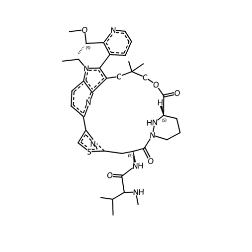 CCn1c(-c2cccnc2[C@H](C)OC)c2c3nc(ccc31)-c1csc(n1)C[C@H](NC(=O)C(NC)C(C)C)C(=O)N1CCC[C@H](N1)C(=O)OCC(C)(C)C2